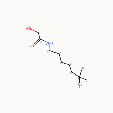 CCC(C)(C)CCCCCNC(=O)CO